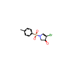 Cc1ccc(S(=O)(=O)N2C=C(Br)C(=O)C2)cc1